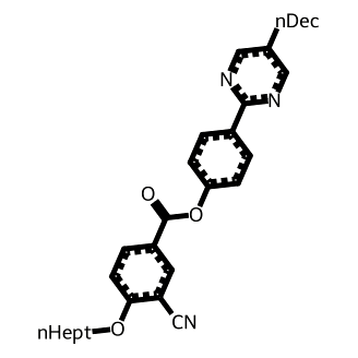 CCCCCCCCCCc1cnc(-c2ccc(OC(=O)c3ccc(OCCCCCCC)c(C#N)c3)cc2)nc1